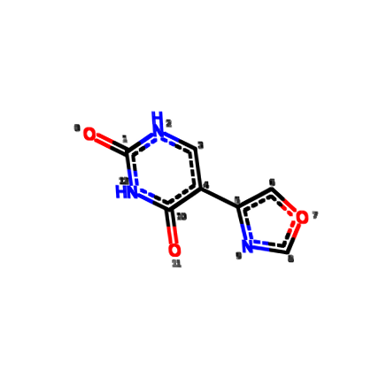 O=c1[nH]cc(-c2cocn2)c(=O)[nH]1